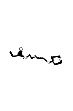 C=CC(=O)OCCOCCOC1=CCCC=C1